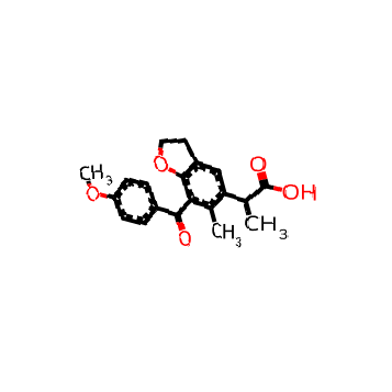 COc1ccc(C(=O)c2c(C)c(C(C)C(=O)O)cc3c2OCC3)cc1